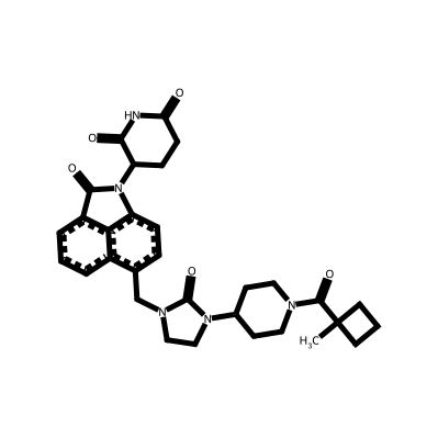 CC1(C(=O)N2CCC(N3CCN(Cc4ccc5c6c(cccc46)C(=O)N5C4CCC(=O)NC4=O)C3=O)CC2)CCC1